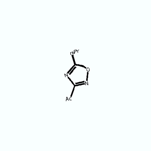 CCCc1nc(C(C)=O)no1